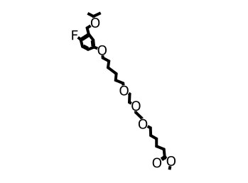 COC(=O)CCCCCOCCOCCOCCCCCCOc1ccc(F)c(COC(C)C)c1